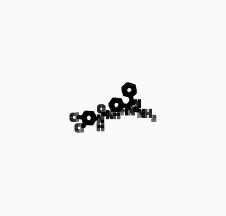 Nc1nc(-c2ccccc2)c(-c2cccc(NC(=O)Nc3ccc(Cl)c(Cl)c3)c2)[nH]1